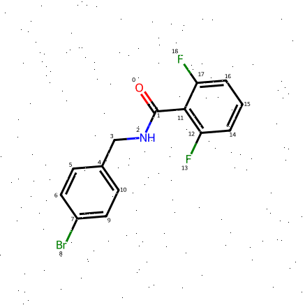 O=C(NCc1ccc(Br)cc1)c1c(F)cccc1F